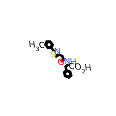 Cc1cccc(-c2nc(CC(=O)N[C@@H](Cc3ccccc3)C(=O)O)cs2)c1